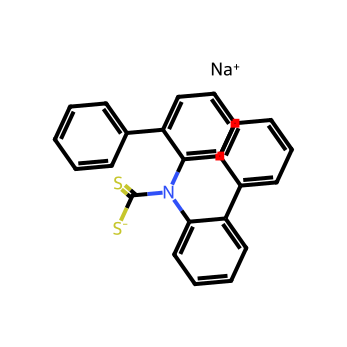 S=C([S-])N(c1ccccc1-c1ccccc1)c1ccccc1-c1ccccc1.[Na+]